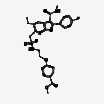 CCc1cc2c(C(=O)NC)c(-c3ccc(F)cc3)oc2nc1CS(=O)(=O)NCCOc1ccc(C(=O)OC)cc1